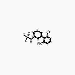 CC(C)c1cccc(C(F)(F)F)c1-c1cccc(NS(C)(=O)=O)c1